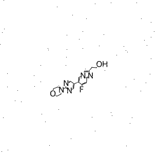 OCCc1cn2cc(-c3cnc(N4CCOCC4)nc3)c(F)cc2n1